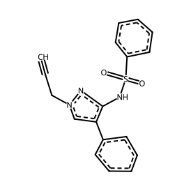 C#CCn1cc(-c2ccccc2)c(NS(=O)(=O)c2ccccc2)n1